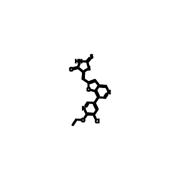 CCOc1ncc(-c2cncc3cc(/C=C4\SC(=S)NC4=O)oc23)cc1Cl